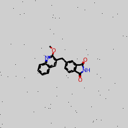 COc1nc2ccccc2cc1Cc1ccc2c(c1)C(=O)NC2=O